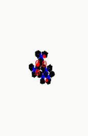 c1ccc(N(c2ccccc2)c2cc3c4c(c2)Oc2cc5c(cc2B4c2cc4c(cc2O3)N(c2ccccc2)c2ccccc2O4)B2c3ccccc3N(c3ccccc3)c3cc(N(c4ccccc4)c4ccccc4)cc(c32)N5c2ccccc2)cc1